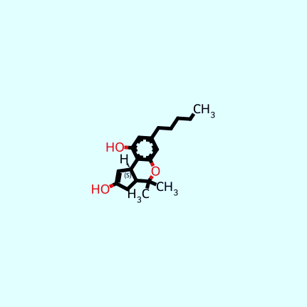 CCCCCc1cc(O)c2c(c1)OC(C)(C)C1CC(O)=C[C@@H]21